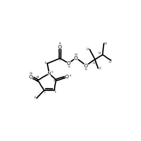 CC1=CC(=O)N(CC(=O)OOOC(C)(C)C(C)C)C1=O